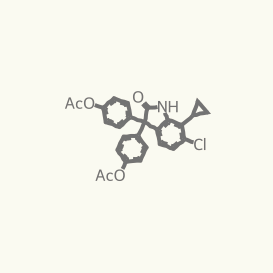 CC(=O)Oc1ccc(C2(c3ccc(OC(C)=O)cc3)C(=O)Nc3c2ccc(Cl)c3C2CC2)cc1